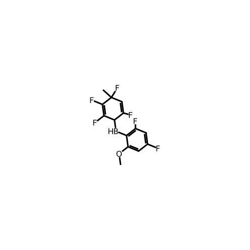 COc1cc(F)cc(F)c1BC1C(F)=CC(C)(F)C(F)=C1F